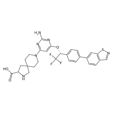 Nc1nc(O[C@H](c2ccc(-c3ccc4cnsc4c3)cc2)C(F)(F)F)cc(N2CCC3(CC2)CNC(C(=O)O)C3)n1